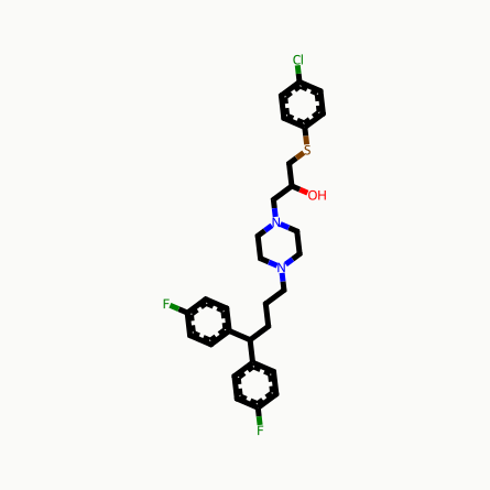 OC(CSc1ccc(Cl)cc1)CN1CCN(CCCC(c2ccc(F)cc2)c2ccc(F)cc2)CC1